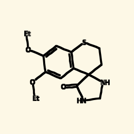 CCOc1cc2c(cc1OCC)C1(CCS2)NCNC1=O